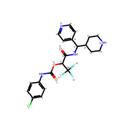 O=C(Nc1ccc(Cl)cc1)OC(C(=O)NC(c1ccncc1)C1CCNCC1)C(F)(F)F